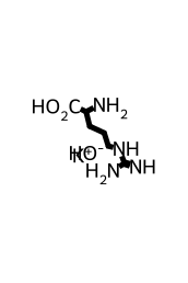 N=C(N)NCCCC(N)C(=O)O.[K+].[OH-]